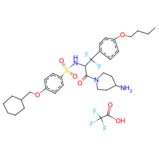 CCCCOc1ccc(C(F)(F)C(NS(=O)(=O)c2ccc(OCC3CCCCC3)cc2)C(=O)N2CCC(N)CC2)cc1.O=C(O)C(F)(F)F